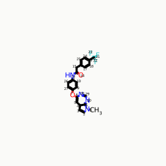 CN1C=CC2C=C(Oc3ccc(NC(=O)Cc4ccc(C(F)(F)F)cc4)cc3)N=CN=C21